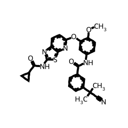 COc1ccc(NC(=O)c2cccc(C(C)(C)C#N)c2)cc1Oc1ccc2nc(NC(=O)C3CC3)sc2n1